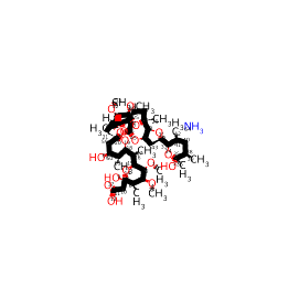 CO[C@@H]1[C@@H](OC)[C@H](C)[C@@](O)(CC(=O)O)O[C@H]1[C@H](C)[C@H]1O[C@@]2(CC[C@@](C)([C@H]3CC[C@@](C)([C@@H]4O[C@@H]([C@H]5O[C@](C)(O)[C@H](C)C[C@@H]5C)C[C@@H]4OC4C[C@H](OC)[C@@H](OC)[C@H](C)O4)O3)O2)C[C@H](O)[C@H]1C.N